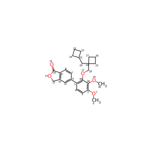 COc1ccc(-c2ccc3c(c2)COC3=O)c(OCC2(CC3CCC3)CCC2)c1OC